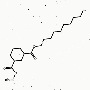 CCCCCOC(=O)C1CCCC(C(=O)OCCCCCCCCCC(C)C)C1